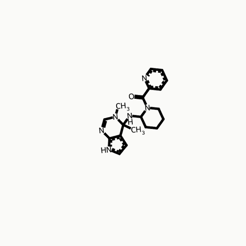 CN1C=Nc2[nH]ccc2C1(C)NC1CCCCN1C(=O)c1ccccn1